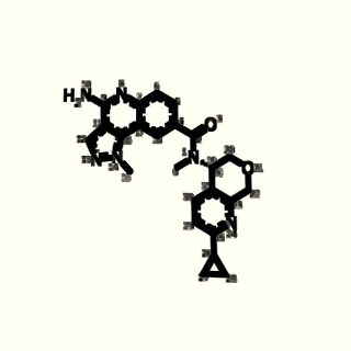 CN(C(=O)c1ccc2nc(N)c3cnn(C)c3c2c1)[C@@H]1COCc2nc(C3CC3)ccc21